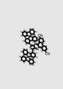 N#Cc1ccc2c3ccc(C#N)cc3c3nc4c(-c5cccc6c5-c5ccccc5C65c6ccccc6-c6ccccc65)sc(-c5cccc6c5-c5ccccc5C65c6ccccc6-c6ccccc65)c4nc3c2c1